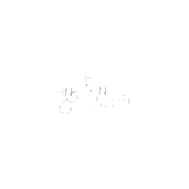 CC(C)C(=O)[C@@H]1CCCN1C(=O)[C@@H](N)Cc1c[nH]c2ccccc12